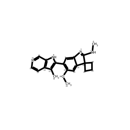 CNC1=Nc2cc(-c3[nH]c4cnccc4c3C)c(OC)cc2C12CCC2